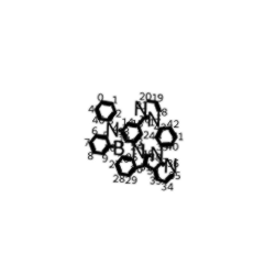 c1ccc(N2c3ccccc3B3c4c2cc(-c2ncccn2)cc4-n2c4c3cccc4c3c4cccnc4n(-c4ccccc4)c32)cc1